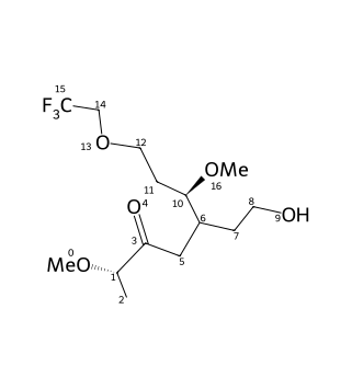 CO[C@@H](C)C(=O)CC(CCO)[C@@H](CCOCC(F)(F)F)OC